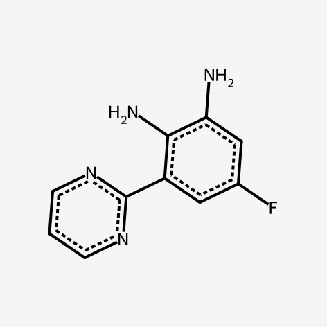 Nc1cc(F)cc(-c2ncccn2)c1N